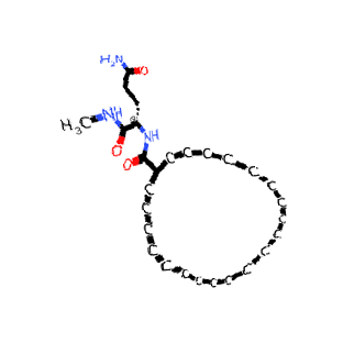 CNC(=O)[C@H](CCC(N)=O)NC(=O)C1CCCCCCCCCCCCCCCCCCCC1